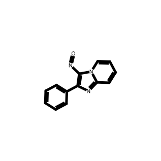 O=Nc1c(-c2ccccc2)nc2ccccn12